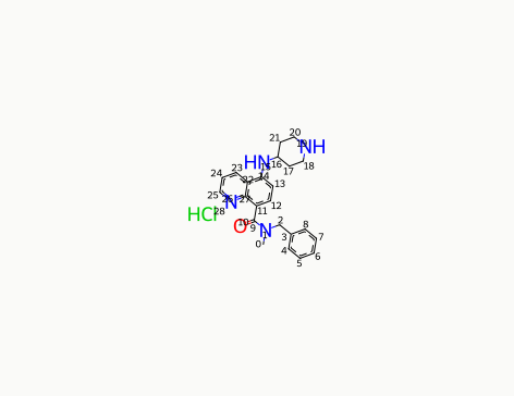 CN(Cc1ccccc1)C(=O)c1ccc(NC2CCNCC2)c2cccnc12.Cl